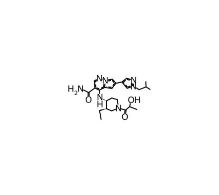 CC[C@@H]1CN(C(=O)C(C)O)CC[C@H]1Nc1c(C(N)=O)cnn2cc(-c3cnn(CC(C)C)c3)cc12